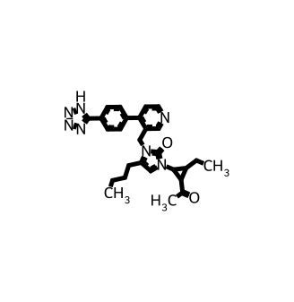 CCCCc1cn(C2C(CC)C2C(C)=O)c(=O)n1Cc1cnccc1-c1ccc(-c2nnn[nH]2)cc1